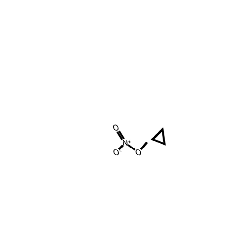 C1CC1.CO[N+](=O)[O-]